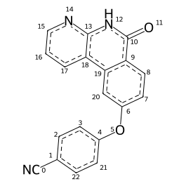 N#Cc1ccc(Oc2ccc3c(=O)[nH]c4ncccc4c3c2)cc1